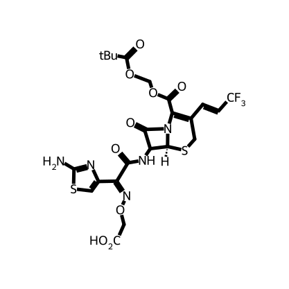 CC(C)(C)C(=O)OCOC(=O)C1=C(C=CC(F)(F)F)CS[C@H]2C(NC(=O)C(=NOCC(=O)O)c3csc(N)n3)C(=O)N12